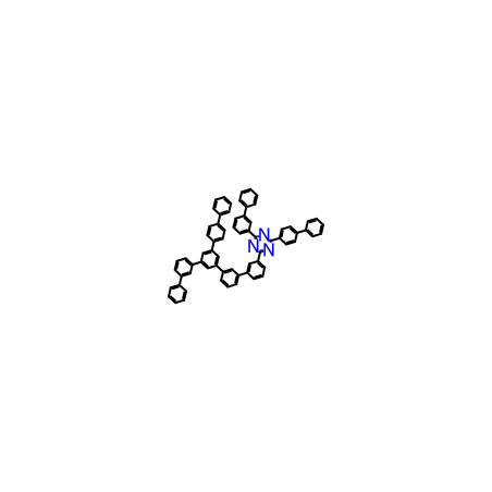 c1ccc(-c2ccc(-c3cc(-c4cccc(-c5ccccc5)c4)cc(-c4cccc(-c5cccc(-c6nc(-c7ccc(-c8ccccc8)cc7)nc(-c7cccc(-c8ccccc8)c7)n6)c5)c4)c3)cc2)cc1